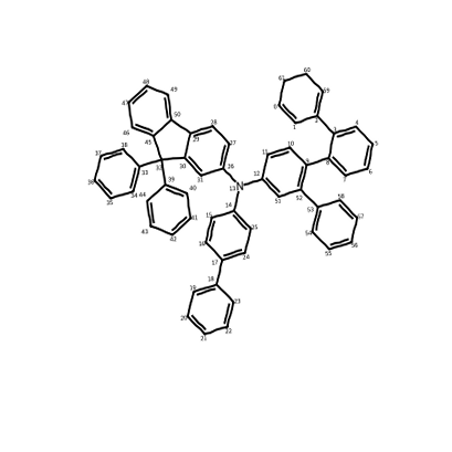 C1=CC(c2ccccc2-c2ccc(N(c3ccc(-c4ccccc4)cc3)c3ccc4c(c3)C(c3ccccc3)(c3ccccc3)c3ccccc3-4)cc2-c2ccccc2)=CCC1